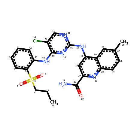 CCCS(=O)(=O)c1ccccc1Nc1nc(Nc2cc(C(N)=O)nc3ccc(C)cc23)ncc1Cl